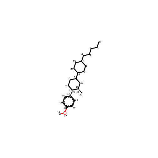 CCCCCC1CCC(C2CC[C@@H](c3ccc(OC)cc3)[C@H](C)C2)CC1